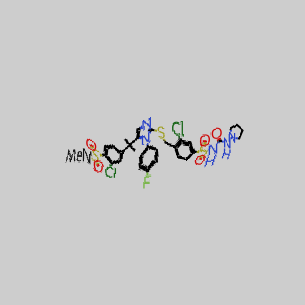 CNS(=O)(=O)c1ccc(C(C)(C)c2cnc(SCc3ccc(S(=O)(=O)NC(=O)NN4CCCC4)cc3Cl)n2-c2ccc(F)cc2)cc1Cl